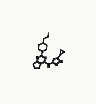 CCCC1CCN(c2nc3c(c(Nc4cc(C5CC5)[nH]n4)n2)CCC3)CC1